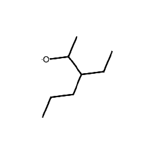 CCCC(CC)C(C)[O]